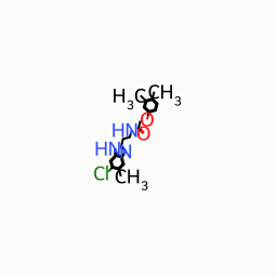 Cc1ccc(OCC(=O)NCCc2nc3cc(C)c(Cl)cc3[nH]2)cc1C